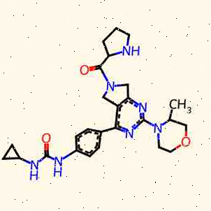 CC1COCCN1c1nc2c(c(-c3ccc(NC(=O)NC4CC4)cc3)n1)CN(C(=O)C1CCCN1)C2